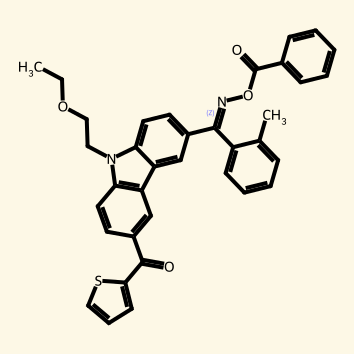 CCOCCn1c2ccc(C(=O)c3cccs3)cc2c2cc(/C(=N/OC(=O)c3ccccc3)c3ccccc3C)ccc21